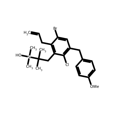 C=CCc1c(Br)cc(Cc2ccc(OC)cc2)c(Cl)c1CC(C)(C)[Si](C)(C)O